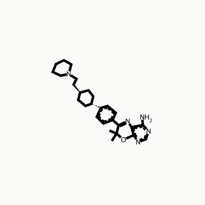 CC1(C)Oc2ncnc(N)c2N=C1c1ccc([C@H]2CC[C@H](CCN3CCCCC3)CC2)cc1